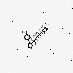 Oc1ccc(-c2ccccc2C(F)(F)C(F)(F)C(F)(F)C(F)(F)C(F)(F)C(F)(F)C(F)(F)C(F)(F)F)cc1